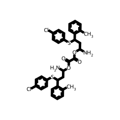 Cc1ccccc1C(CC(N)OC(=O)C(=O)OC(N)CC(Sc1ccc(Cl)cc1)c1ccccc1C)Sc1ccc(Cl)cc1